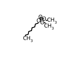 CCCCCCCCCOP(=O)(OCC)OCC